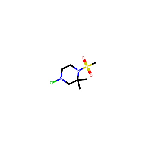 CC1(C)CN(Cl)CCN1S(C)(=O)=O